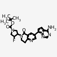 CC(C)(C)OC(=O)N1CC(F)C(N2CCc3ncc(-c4ccc5c(N)ncnn45)cc3C2=O)C1